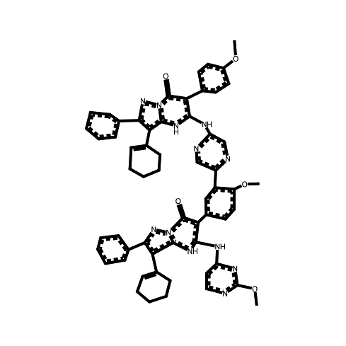 COc1ccc(-c2c(Nc3cnc(-c4cc(-c5c(Nc6ccnc(OC)n6)[nH]c6c(C7=CCCCC7)c(-c7ccccc7)nn6c5=O)ccc4OC)cn3)[nH]c3c(C4=CCCCC4)c(-c4ccccc4)nn3c2=O)cc1